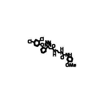 COc1cccc(NC(=O)NCCNC(=O)CC2(c3ccccc3Oc3ccc(Cl)cc3Cl)N=NN=N2)c1